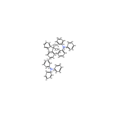 CC1(C)c2ccccc2-c2cc(-c3cccc(N(c4ccccc4)c4ccccc4)c3)cc(-c3cccc(N(c4ccccc4)c4ccccc4)c3)c21